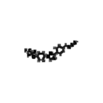 [N-]=[N+]=NCc1ccc(-c2ncn(-c3ccc(OC(F)(F)C(F)(F)F)cc3)n2)cc1